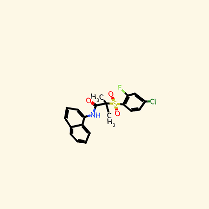 CC(C)(C(=O)Nc1cccc2ccccc12)S(=O)(=O)c1ccc(Cl)cc1F